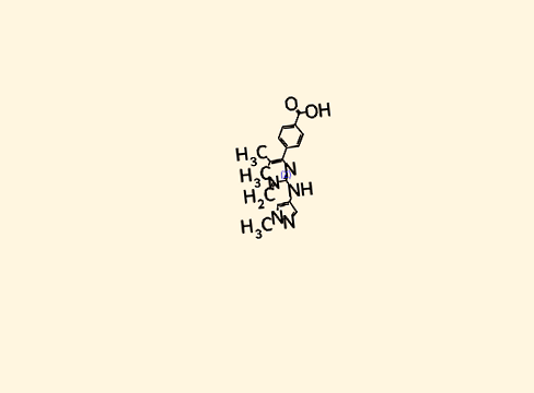 C=N/C(=N\C(=C(C)C)c1ccc(C(=O)O)cc1)Nc1cnn(C)c1